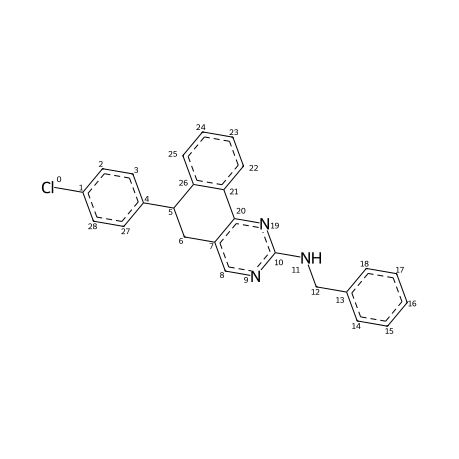 Clc1ccc(C2Cc3cnc(NCc4ccccc4)nc3-c3ccccc32)cc1